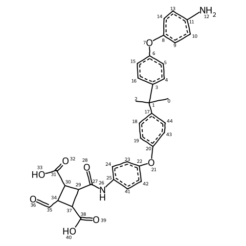 CC(C)(c1ccc(Oc2ccc(N)cc2)cc1)c1ccc(Oc2ccc(NC(=O)C3C(C(=O)O)C(C=O)C3C(=O)O)cc2)cc1